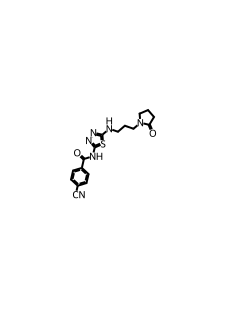 N#Cc1ccc(C(=O)Nc2nnc(NCCCN3CCCC3=O)s2)cc1